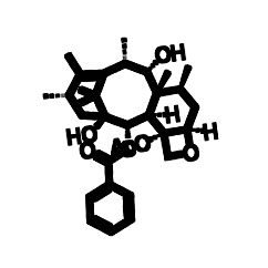 CC(=O)O[C@@]12CO[C@@H]1C[C@H](C)[C@]1(C)[C@@H]2[C@H](OC(=O)c2ccccc2)[C@]2(O)C[C@H](C)C(C)=C([C@H](C)[C@@H]1O)C2(C)C